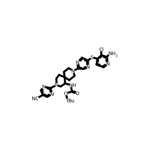 CC(C)(C)OC(=O)NC1CN(c2ncc(C#N)cn2)CCC12CCN(c1cnc(Sc3ccnc(N)c3Cl)cn1)CC2